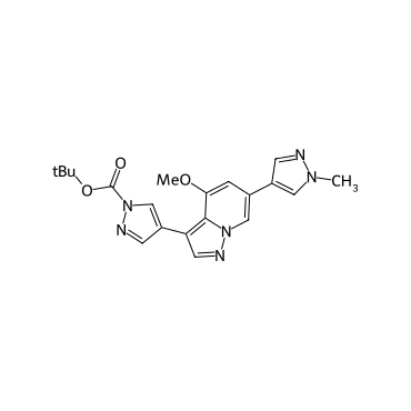 COc1cc(-c2cnn(C)c2)cn2ncc(-c3cnn(C(=O)OC(C)(C)C)c3)c12